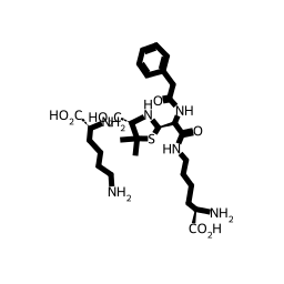 CC1(C)S[C@H](C(NC(=O)Cc2ccccc2)C(=O)NCCCC[C@@H](N)C(=O)O)N[C@H]1C(=O)O.NCCCC[C@@H](N)C(=O)O